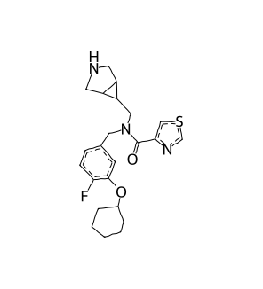 O=C(c1cscn1)N(Cc1ccc(F)c(OC2CCCCC2)c1)CC1C2CNCC21